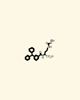 CC(C)(C)OC(=O)NCCC[C@H](NC(=O)c1cccc(C(c2ccccc2)c2ccccc2)c1)C(=O)O